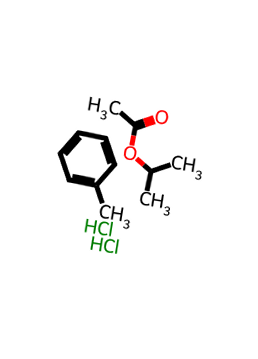 CC(=O)OC(C)C.Cc1ccccc1.Cl.Cl